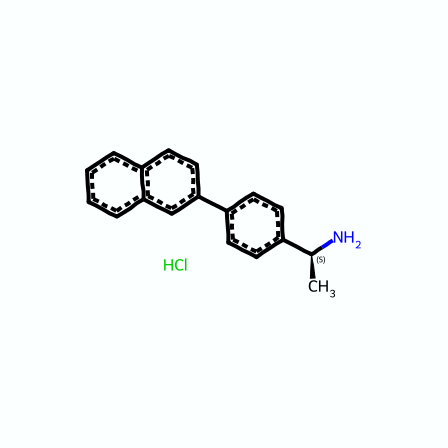 C[C@H](N)c1ccc(-c2ccc3ccccc3c2)cc1.Cl